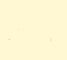 [Fe+2].[Fe+2].[Nd+3].[Nd+3].[O-2].[O-2].[O-2].[O-2].[O-2]